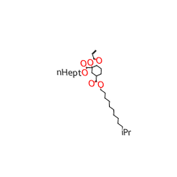 C=CC(=O)OC1(C(=O)OCCCCCCC)CCCC(C(=O)OCCCCCCCCCCC(C)C)C1